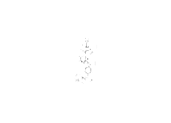 N#C[C@@]1(O)CCN(c2ccnc(Nc3ccc(C(=O)N4CCC(F)(F)C4)cc3)n2)C1=O